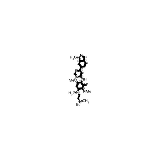 CCN(C)CCN(C)c1cc(OC)c(Nc2cc(-c3ccc4cnn(C)c4c3)ncn2)c(F)c1NC